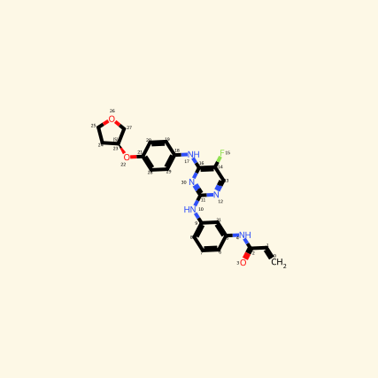 C=CC(=O)Nc1cccc(Nc2ncc(F)c(Nc3ccc(O[C@H]4CCOC4)cc3)n2)c1